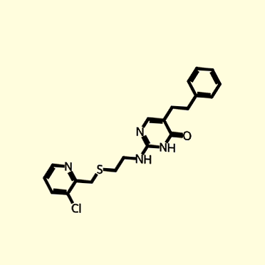 O=c1[nH]c(NCCSCc2ncccc2Cl)ncc1CCc1ccccc1